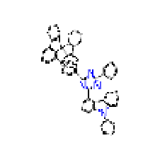 c1ccc(-c2nc(-c3ccc(-c4cccc5c4C4(c6ccccc6-c6ccccc64)c4ccccc4-5)cc3)nc(-c3cccc4c3c3ccccc3n4-c3ccccc3)n2)cc1